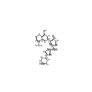 CC(C)N1C=CCc2c(F)cc(-c3nc(Nc4nc(C5CCNCC5)cs4)ncc3F)cc21